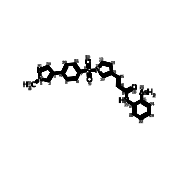 Cn1cc(-c2ccc(S(=O)(=O)n3ccc(C=CC(=O)Nc4ccccc4[AsH2])c3)cc2)cn1